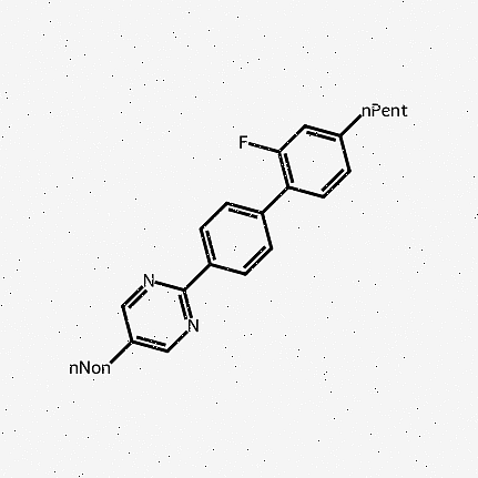 CCCCCCCCCc1cnc(-c2ccc(-c3ccc(CCCCC)cc3F)cc2)nc1